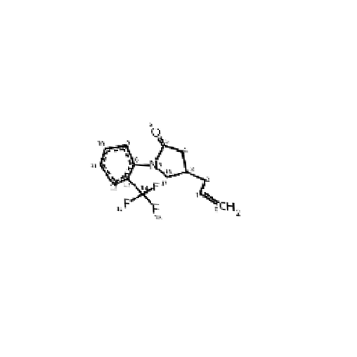 C=CCC1CC(=O)N(c2ccccc2C(F)(F)F)C1